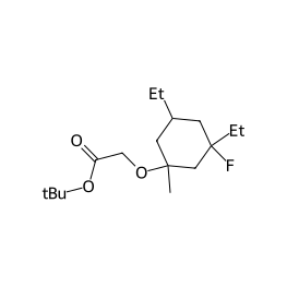 CCC1CC(F)(CC)CC(C)(OCC(=O)OC(C)(C)C)C1